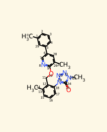 Cc1cccc(-c2cnc(OCc3c(C)cccc3-n3nnn(C)c3=O)c(C)c2)c1